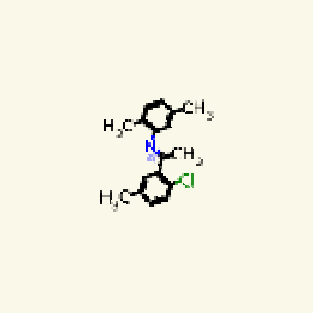 C/C(=N\c1cc(C)ccc1C)c1cc(C)ccc1Cl